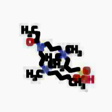 C=CC(=O)N(CCC[N+](C)(C)CCCCC)CCC[N+](C)(C)CCCCS(=O)(=O)O